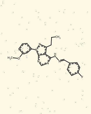 CCCc1nn(-c2cccc(OC)c2)c2ncnc(N/N=C/c3ccc(F)cc3)c12